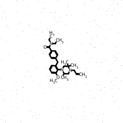 C=CCN1CC(C)N(c2c(Cc3ccc(C(=O)N(CC)CC)cc3)cccc2OC)CC1(C)C